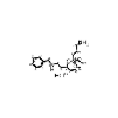 C=CC(CCNCc1ccccc1)O[Si](CCCN)(OC)OC.Cl